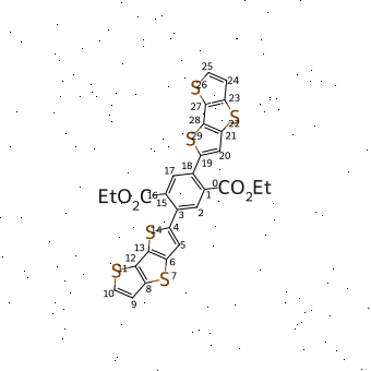 CCOC(=O)c1cc(-c2cc3sc4ccsc4c3s2)c(C(=O)OCC)cc1-c1cc2sc3ccsc3c2s1